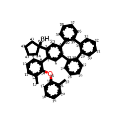 BC1(c2cc3c(cc2-c2cccc(C)c2Oc2ccccc2C)-c2ccccc2-c2ccccc2-c2ccccc2-3)CCCC1